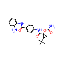 CC(C)(C)C1CC1(OC(N)=O)C(=O)Nc1ccc(C(=O)Nc2ccccc2N)cc1